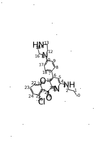 CCCNc1cc(-c2ccc(N3CCNCC3)cc2)c2oc3cccc(Cl)c3c(=O)c2n1